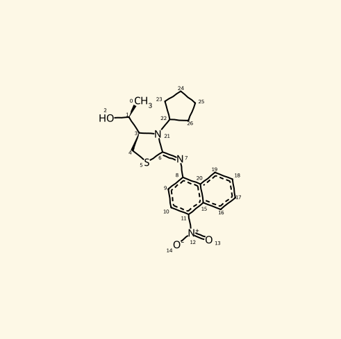 C[C@H](O)[C@@H]1CS/C(=N\c2ccc([N+](=O)[O-])c3ccccc23)N1C1CCCC1